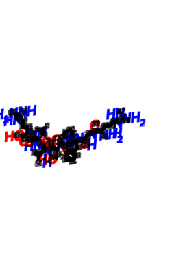 CC(C)C[C@H](NC(=O)[C@@H](NC(=O)[C@H](CO)NC(=O)[C@@H]1CCCN1C(=O)[C@H](Cc1ccccc1)NC(=O)CNC(=O)[C@@H](N)CCCNC(=N)N)C(C)C)C(=O)N[C@@H](CCCNC(=N)N)C(=O)O